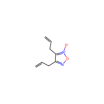 C=CCc1no[n+]([O-])c1CC=C